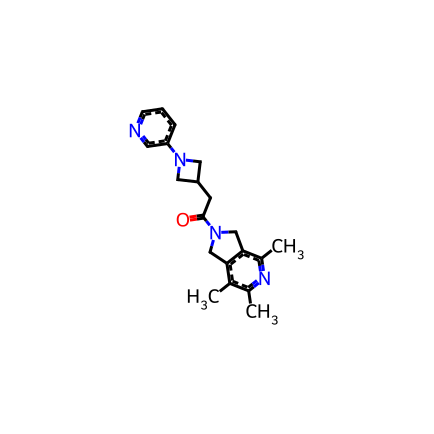 Cc1nc(C)c2c(c1C)CN(C(=O)CC1CN(c3cccnc3)C1)C2